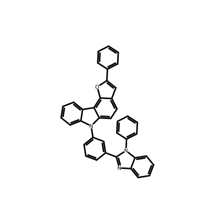 c1ccc(-c2cc3ccc4c(c5ccccc5n4-c4cccc(-c5nc6ccccc6n5-c5ccccc5)c4)c3o2)cc1